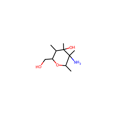 CC1OC(CO)C(C)C(C)(O)C1(C)N